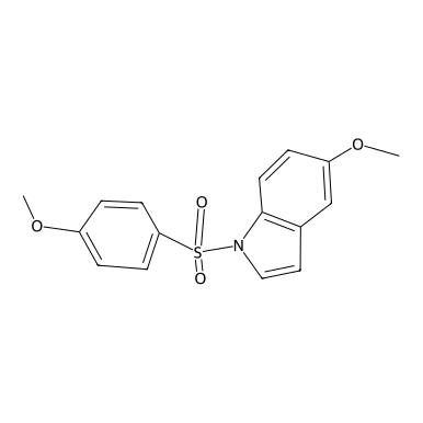 COc1ccc(S(=O)(=O)n2ccc3cc(OC)ccc32)cc1